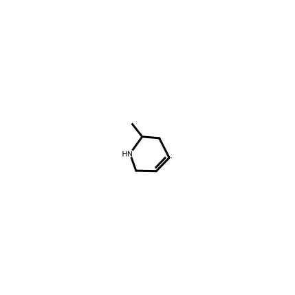 CC1C[C]=CCN1